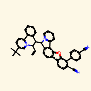 C=CC1C(C2c3ccc4c(oc5c(-c6ccc(C#N)cc6)c(C#N)ccc54)c3-c3cccc[n+]32)c2ccccc2-c2ccc(C(C)(C)C)c[n+]21